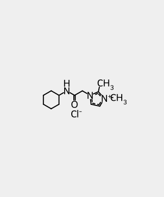 Cc1n(CC(=O)NC2CCCCC2)cc[n+]1C.[Cl-]